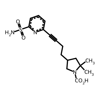 CC1(C)CC(CCC#Cc2cccc(S(N)(=O)=O)n2)CN1C(=O)O